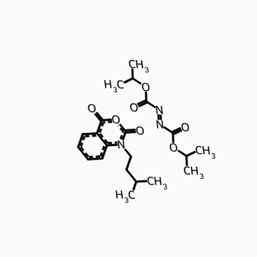 CC(C)CCn1c(=O)oc(=O)c2ccccc21.CC(C)OC(=O)/N=N/C(=O)OC(C)C